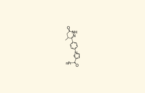 CCCC(=O)c1ccn(-c2ccc(C3=NNC(=O)CC3C)cc2)c1